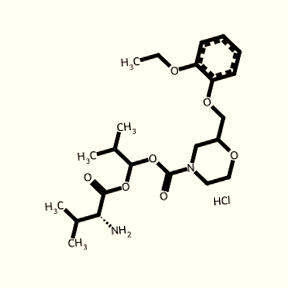 CCOc1ccccc1OCC1CN(C(=O)OC(OC(=O)[C@H](N)C(C)C)C(C)C)CCO1.Cl